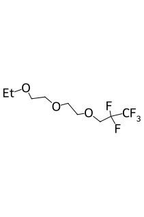 CCOCCOCCOCC(F)(F)C(F)(F)F